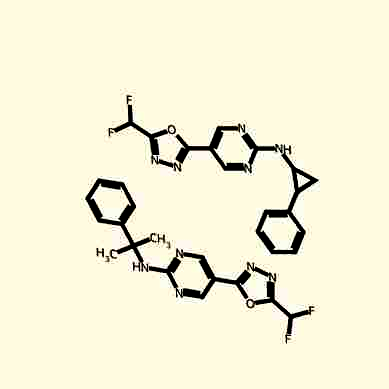 CC(C)(Nc1ncc(-c2nnc(C(F)F)o2)cn1)c1ccccc1.FC(F)c1nnc(-c2cnc(NC3CC3c3ccccc3)nc2)o1